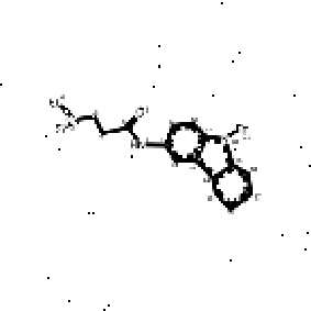 CCN(CC)CCC(=O)Nc1ccc2c(c1)c1ccccc1n2CC